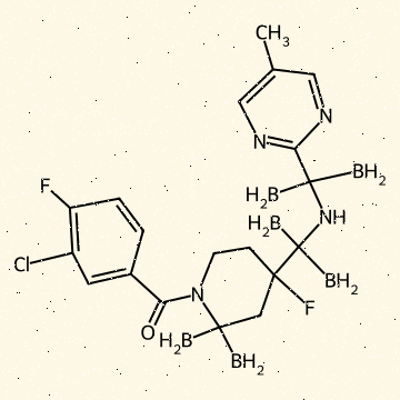 BC(B)(NC(B)(B)C1(F)CCN(C(=O)c2ccc(F)c(Cl)c2)C(B)(B)C1)c1ncc(C)cn1